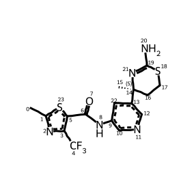 Cc1nc(C(F)(F)F)c(C(=O)Nc2cncc([C@]3(C)CCSC(N)=N3)c2)s1